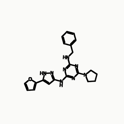 c1ccc(CNc2nc(Nc3cc(-c4ccco4)[nH]n3)nc(N3CCCC3)n2)cc1